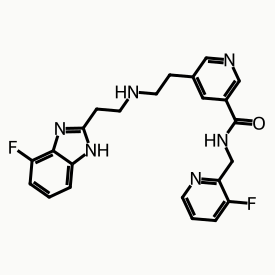 O=C(NCc1ncccc1F)c1cncc(CCNCCc2nc3c(F)cccc3[nH]2)c1